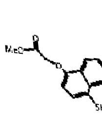 COC(=O)COc1ccc(S)c2ccccc12